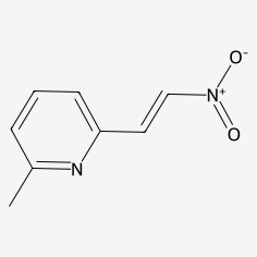 Cc1cccc(/C=C/[N+](=O)[O-])n1